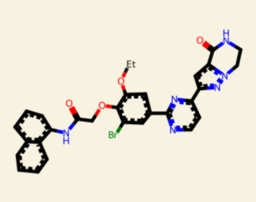 CCOc1cc(-c2nccc(-c3cc4n(n3)CCNC4=O)n2)cc(Br)c1OCC(=O)Nc1cccc2ccccc12